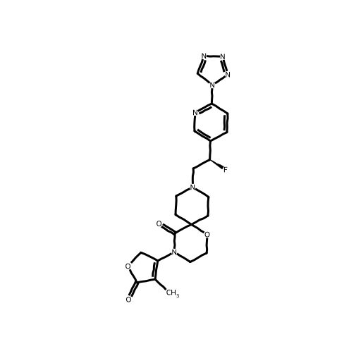 CC1=C(N2CCOC3(CCN(C[C@H](F)c4ccc(-n5cnnn5)nc4)CC3)C2=O)COC1=O